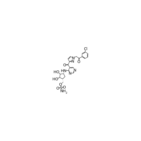 NS(=O)(=O)OC[C@H]1C[C@@H](Nc2ncncc2C(=O)c2ccn(CC(=O)c3cccc(Cl)c3)n2)[C@H](O)[C@@H]1O